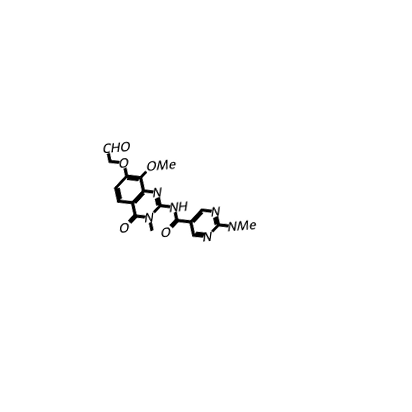 CNc1ncc(C(=O)Nc2nc3c(OC)c(OCC=O)ccc3c(=O)n2C)cn1